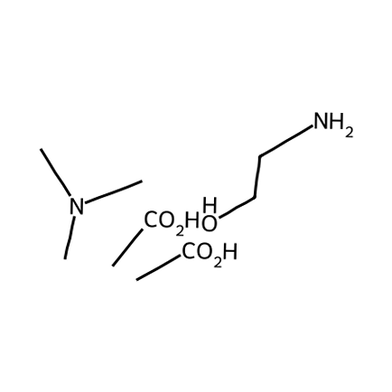 CC(=O)O.CC(=O)O.CN(C)C.NCCO